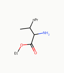 CCCC(C)C(N)C(=O)OCC